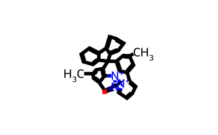 Cc1cc2c3c(c1)C1(c4ccccc4-c4ccccc41)c1cc(C)cc4c1[N+]3([n+]1ccccc1-2)[n+]1ccccc1-4